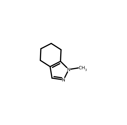 Cn1ncc2c1CCCC2